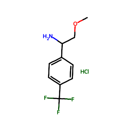 COCC(N)c1ccc(C(F)(F)F)cc1.Cl